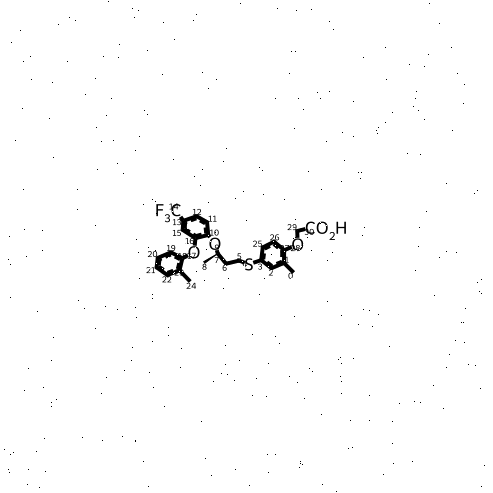 Cc1cc(SCC[C@@H](C)Oc2ccc(C(F)(F)F)cc2Oc2ccccc2C)ccc1OCC(=O)O